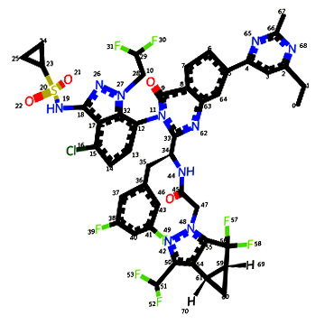 CCc1cc(-c2ccc3c(=O)n(-c4ccc(Cl)c5c(NS(=O)(=O)C6CC6)nn(CC(F)F)c45)c([C@H](Cc4cc(F)cc(F)c4)NC(=O)Cn4nc(C(F)F)c5c4C(F)(F)[C@@H]4C[C@H]54)nc3c2)nc(C)n1